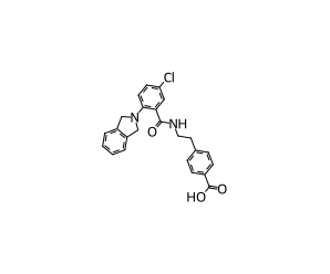 O=C(O)c1ccc(CCNC(=O)c2cc(Cl)ccc2N2Cc3ccccc3C2)cc1